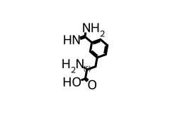 N=C(N)c1cccc(C[C@H](N)C(=O)O)c1